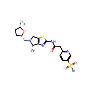 CCS(=O)(=O)c1ccc(CC(=O)Nc2nc3c(s2)CN(C[C@@H]2CC[C@H](C(F)(F)F)O2)[C@H]3C(C)C)nc1